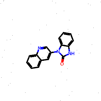 O=c1[nH]c2ccccc2n1-c1cnc2ccccc2c1